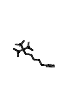 CCCCCCCCCCCCCC[Si](N(C)C)(N(C)C)N(C)C